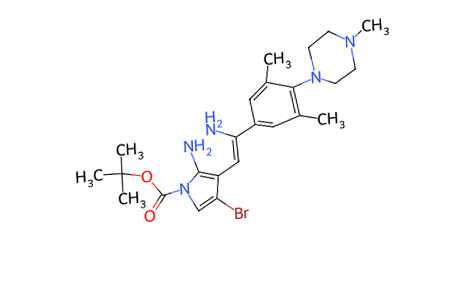 Cc1cc(/C(N)=C/c2c(Br)cn(C(=O)OC(C)(C)C)c2N)cc(C)c1N1CCN(C)CC1